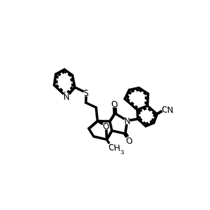 CC12CCC(CCSc3ccccn3)(O1)C1C(=O)N(c3ccc(C#N)c4ccccc34)C(=O)C12